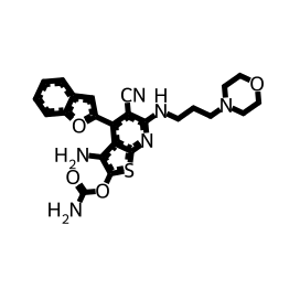 N#Cc1c(NCCCN2CCOCC2)nc2sc(OC(N)=O)c(N)c2c1-c1cc2ccccc2o1